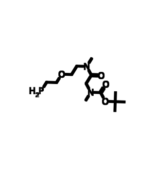 CN(CCOCCP)C(=O)CN(C)C(=O)OC(C)(C)C